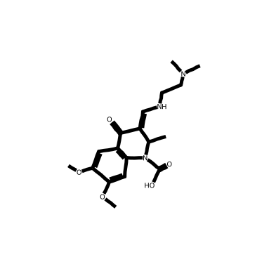 COc1cc2c(cc1OC)N(C(=O)O)C(C)C(=CNCCN(C)C)C2=O